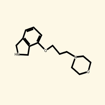 c1cc2c(c(OCCCN3CCOCC3)c1)CNC2